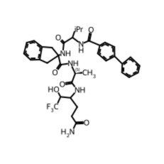 CC(C)C(NC(=O)c1ccc(-c2ccccc2)cc1)C(=O)NC1(C(=O)N[C@@H](C)C(=O)NC(CCC(N)=O)C(O)C(F)(F)F)Cc2ccccc2C1